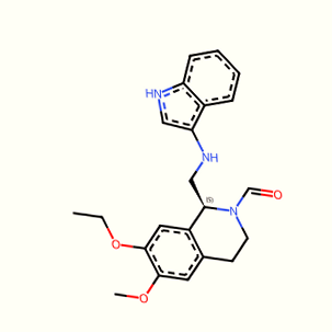 CCOc1cc2c(cc1OC)CCN(C=O)[C@@H]2CNc1c[nH]c2ccccc12